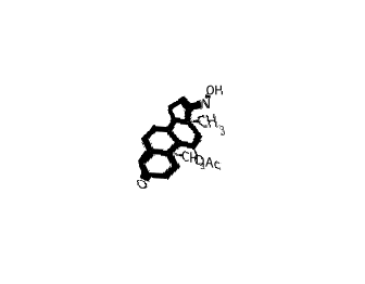 CC(=O)O[C@H]1C[C@]2(C)/C(=N/O)CCC2C2CCC3=CC(=O)CC[C@]3(C)C21